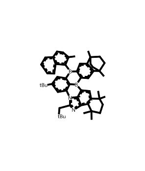 Cc1ccc2ccccc2c1B1c2cc3c(cc2B2c4c1cc(C(C)(C)C)cc4-n1c(CC(C)(C)C)nc4c5c(cc2c41)C(C)(C)CCC5(C)C)C1(C)CCC3(C)CC1